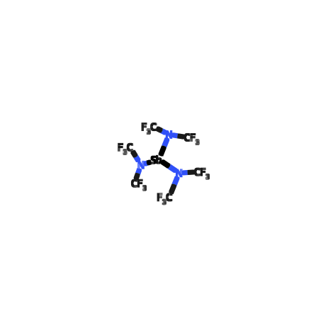 FC(F)(F)[N]([Sb]([N](C(F)(F)F)C(F)(F)F)[N](C(F)(F)F)C(F)(F)F)C(F)(F)F